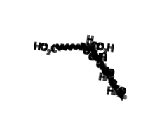 O=C(O)CCCCCCCCCCCC(=O)N[C@H](CCC(=O)NCCOCCOCC(=O)NCCOCCNC(=O)CI)C(=O)O